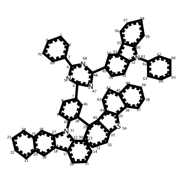 c1ccc(-c2nc(-c3ccc(-n4c5ccccc5c5cc6ccccc6cc54)c(-c4cccc5sc6c7ccccc7ccc6c45)c3)nc(-c3ccc4c(c3)c3ccccc3n4-c3ccccc3)n2)cc1